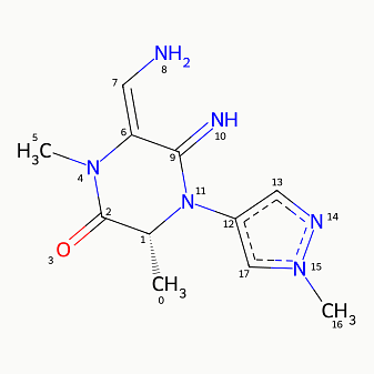 C[C@@H]1C(=O)N(C)/C(=C/N)C(=N)N1c1cnn(C)c1